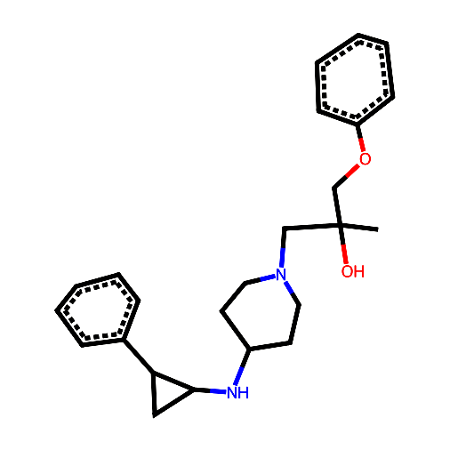 CC(O)(COc1ccccc1)CN1CCC(NC2CC2c2ccccc2)CC1